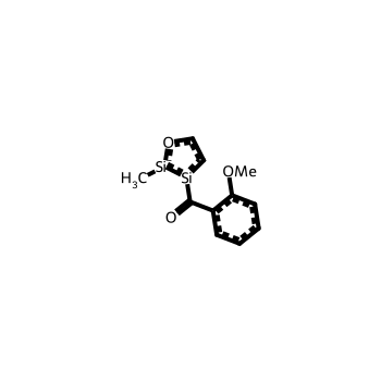 COc1ccccc1C(=O)[si]1cco[si]1C